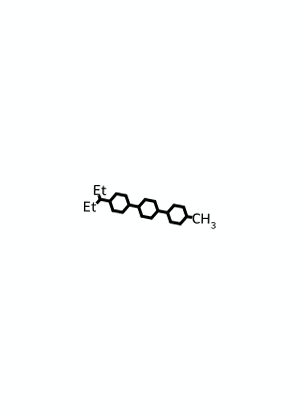 CCC(CC)C1CCC(C2CCC(C3CCC(C)CC3)CC2)CC1